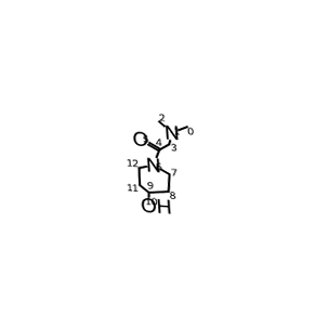 CN(C)CC(=O)N1CCC(O)CC1